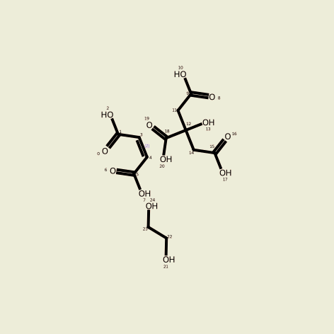 O=C(O)/C=C\C(=O)O.O=C(O)CC(O)(CC(=O)O)C(=O)O.OCCO